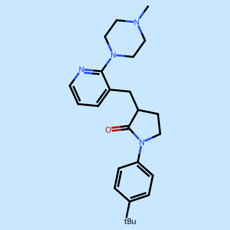 CN1CCN(c2ncccc2CC2CCN(c3ccc(C(C)(C)C)cc3)C2=O)CC1